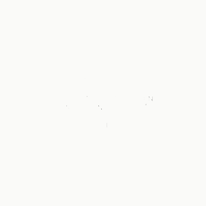 CN(CCC#N)C1CCCO1